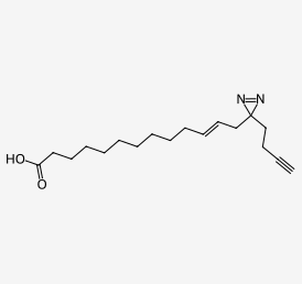 C#CCCC1(C/C=C/CCCCCCCCCC(=O)O)N=N1